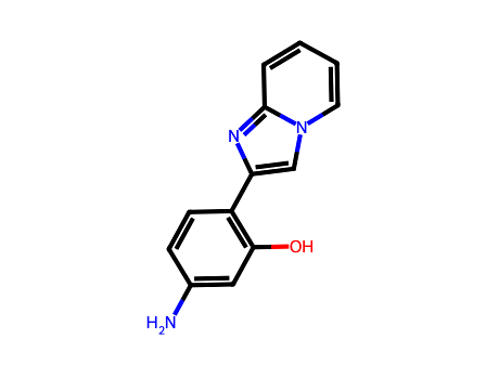 Nc1ccc(-c2cn3ccccc3n2)c(O)c1